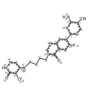 N#Cc1cnc(-c2cc3ncn(CCCCNc4cn[nH]c(=O)c4C(F)(F)F)c(=O)c3cc2F)nc1N